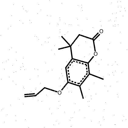 C=CCOc1cc2c(c(C)c1C)OC(=O)CC2(C)C